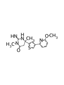 COc1cccc(-c2csc([C@]3(C)CC(=O)N(C)C(=N)N3)c2)n1